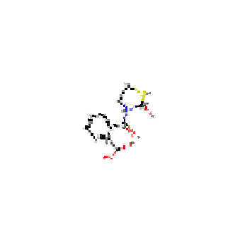 O=C(O)c1ccccc1C(=O)N1CCSC1=O